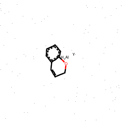 C1=Cc2ccccc2OC1.[AlH3].[Y]